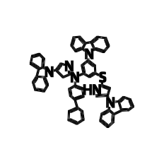 C1=C(n2c3ccccc3c3ccccc32)CC(N(c2ccc(-c3ccccc3)cc2)c2cc(Sc3cc(-n4c5ccccc5c5ccccc54)c[nH]3)cc(-n3c4ccccc4c4ccccc43)c2)=N1